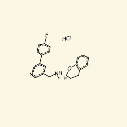 Cl.Fc1ccc(-c2cncc(CNC[C@H]3CCc4ccccc4O3)c2)cc1